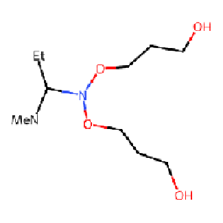 CCC(NC)N(OCCCO)OCCCO